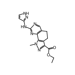 CCOC(=O)c1nn(C)c2c1CCc1cnc(Nc3cc[nH]n3)nc1-2